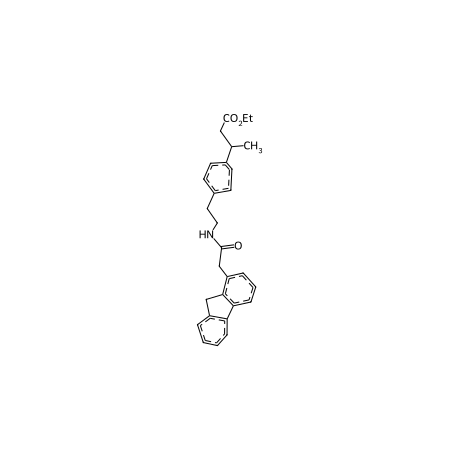 CCOC(=O)CC(C)c1ccc(CCNC(=O)Cc2cccc3c2Cc2ccccc2-3)cc1